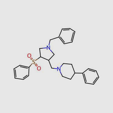 O=S(=O)(c1ccccc1)C1CN(Cc2ccccc2)CC1CN1CCC(c2ccccc2)CC1